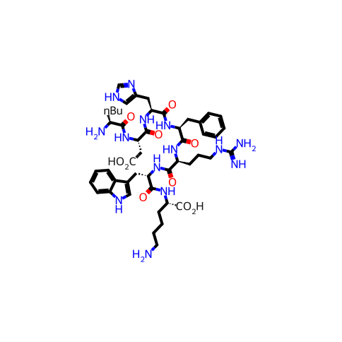 CCCC[C@H](N)C(=O)N[C@@H](CC(=O)O)C(=O)N[C@@H](Cc1c[nH]cn1)C(=O)N[C@@H](Cc1ccccc1)C(=O)N[C@@H](CCCNC(=N)N)C(=O)N[C@@H](Cc1c[nH]c2ccccc12)C(=O)N[C@@H](CCCCN)C(=O)O